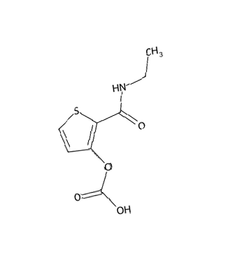 CCNC(=O)c1sccc1OC(=O)O